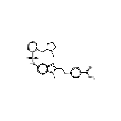 CN1CCCC1Cc1ccccc1S(=O)(=O)Nc1ccc2c(c1)nc(CCc1ccc(C(=N)N)cc1)n2C